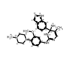 COc1cc(NC2=NC=C(C)C(N)(c3ccc4cn[nH]c4c3)N2)ccc1N1CCN(C)CC1